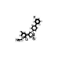 Cc1cc(C(COC2CCC(c3cccc(F)c3)CC2)C[N+](=O)[O-])c(=O)n(CC#N)c1